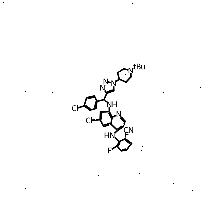 CC(C)(C)N1CCC(n2cc([C@@H](Nc3cc(Cl)cc4c(Nc5c(F)cccc5F)c(C#N)cnc34)c3ccc(Cl)cc3)nn2)CC1